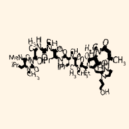 CC[C@@H](C(=O)N(C)[C@H](C)C(=O)N(C)[C@@H](CC(C)C)C(=O)N[C@H](C(=O)N(C)C(=O)N[C@H](C)C(=O)NC(=O)N(C)C(CC(C)C)C(=O)NC)C(C)C)N1C(=O)[C@@H]2[C@H](OC(C)CC(=O)N2C)[C@H]1CC1NCCN1CCCO